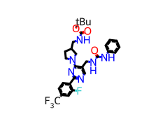 CC(C)(C)OC(=O)NCC1CCN(c2nc(-c3ccc(C(F)(F)F)cc3F)ncc2CNC(=O)Nc2ccccc2)C1